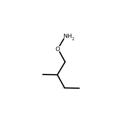 C[CH]C(C)CON